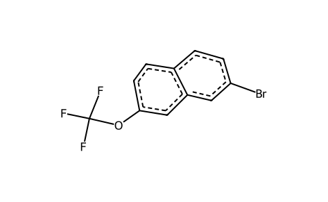 FC(F)(F)Oc1ccc2ccc(Br)cc2c1